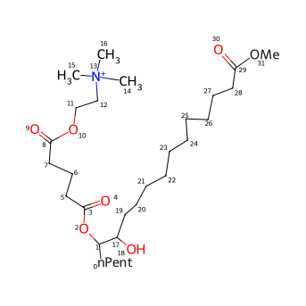 CCCCCC(OC(=O)CCCC(=O)OCC[N+](C)(C)C)C(O)CCCCCCCCCCC(=O)OC